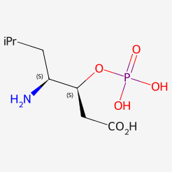 CC(C)C[C@H](N)[C@H](CC(=O)O)OP(=O)(O)O